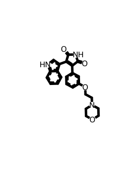 O=C1NC(=O)C(c2c[nH]c3ccccc23)=C1c1cccc(OCCN2CCOCC2)c1